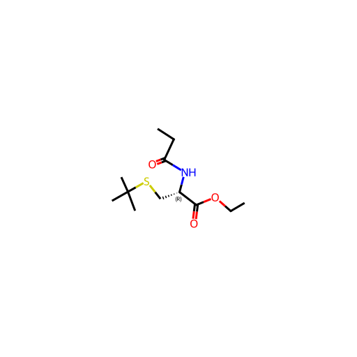 CCOC(=O)[C@H](CSC(C)(C)C)NC(=O)CC